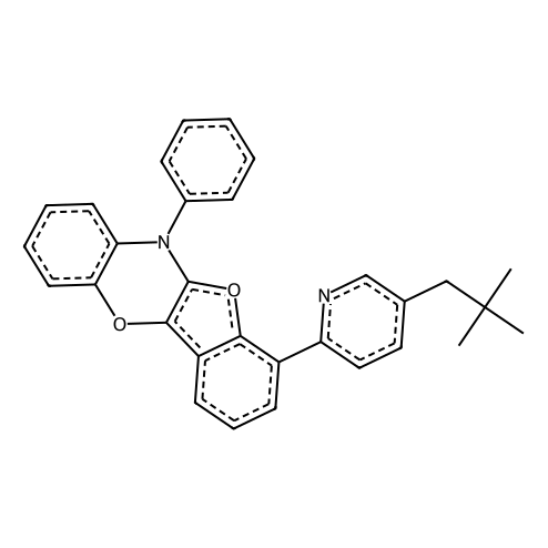 CC(C)(C)Cc1ccc(-c2cccc3c4c(oc23)N(c2ccccc2)c2ccccc2O4)nc1